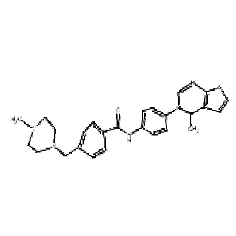 CN1CCN(Cc2ccc(C(=O)Nc3ccc(N4C=Nc5sccc5C4N)cc3)cc2)CC1